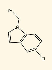 C[C](C)Cn1ccc2cc(Cl)ccc21